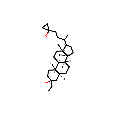 CC[C@]1(O)CC[C@H]2[C@@H](CC[C@@H]3[C@@H]2CC[C@]2(C)[C@@H]([C@H](C)CCC4(O)CC4)CC[C@@H]32)C1